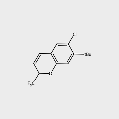 CC(C)(C)c1cc2c(cc1Cl)C=CC(C(F)(F)F)O2